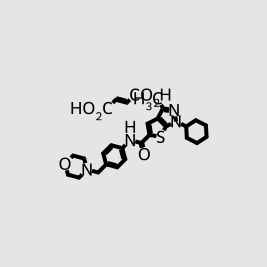 Cc1nn(C2CCCCC2)c2sc(C(=O)Nc3ccc(CN4CCOCC4)cc3)cc12.O=C(O)C=CC(=O)O